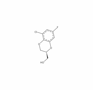 OC[C@H]1COc2c(Cl)cc(F)cc2O1